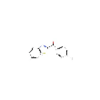 CC(C)c1ccc(C(=O)c2nc3ccc(O)cc3s2)cc1